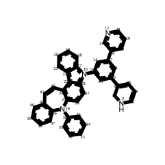 C1=CNCC(c2cc(-c3cccnc3)cc(-n3c4ccccc4c4c5c(ccc43)N(c3ccccc3)c3ccccc3C=C5)c2)=C1